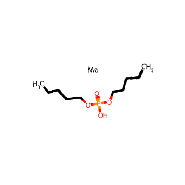 CCCCCOP(=O)(O)OCCCCC.[Mo]